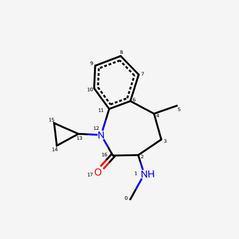 CNC1CC(C)c2ccccc2N(C2CC2)C1=O